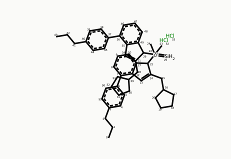 CCCc1ccc(-c2cccc3c2C=C(CC2CCCC2)[CH]3[Zr]([CH3])([CH3])(=[SiH2])[CH]2C(CC3CCCC3)=Cc3c(-c4ccc(CCC)cc4)cccc32)cc1.Cl.Cl